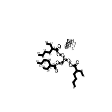 CCCCC(CC)C(=O)OOB(OOC(=O)C(CC)CCCC)OOC(=O)C(CC)CCCC.[BiH3].[BiH3].[BiH3]